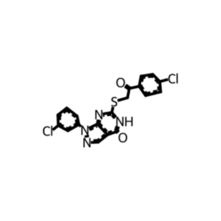 O=C(CSc1nc2c(cnn2-c2cccc(Cl)c2)c(=O)[nH]1)c1ccc(Cl)cc1